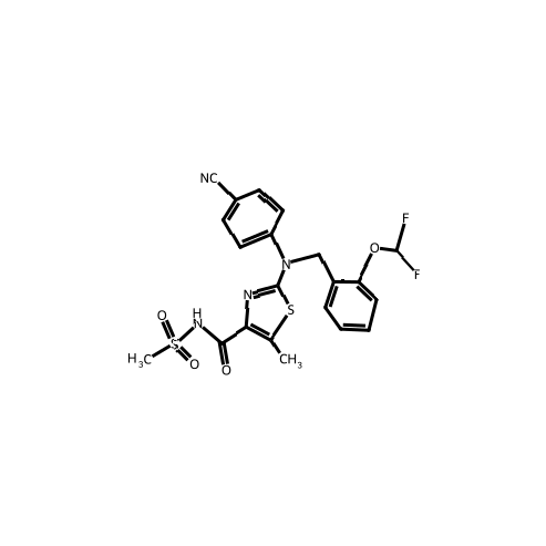 Cc1sc(N(Cc2ccccc2OC(F)F)c2ccc(C#N)cc2)nc1C(=O)NS(C)(=O)=O